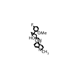 COc1ccc(F)cc1C1(CC(O)(/C=N\c2cccc3nc(C)ccc23)C(F)(F)F)CC1